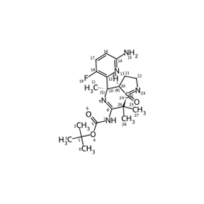 CC(C)(C)OC(=O)NC1=N[C@@](C)(c2nc(N)ccc2F)[C@H]2CCN=[S@@]2(=O)C1(C)C